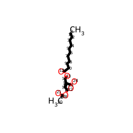 CCCCCCCCCCCC(=O)OCC1=CC(OC(C)=O)OC1=O